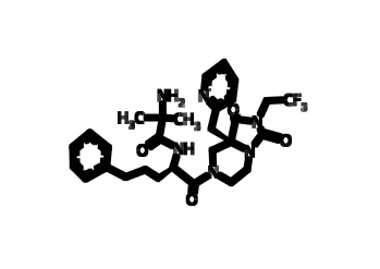 CC(C)(N)C(=O)N[C@H](CCCc1ccccc1)C(=O)N1CCN2C(=O)N(CC(F)(F)F)C(=O)[C@@]2(Cc2ccccn2)C1